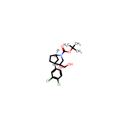 CC(C)(C)OC(=O)N1C[C@](O)(CO)[C@]2(c3ccc(Cl)c(Cl)c3)CC[C@@H]1C2